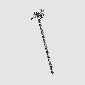 C#CCCN(C(=O)C(=C)C)C(=C=C=C=C=C=C=C=C=C=C=C=C=C=C=C=C=C=C=C=C=C=C=C=C=C=C=C=C=C=C=C=C=C=C=C)N(CCC#N)C(=O)C(=C)C